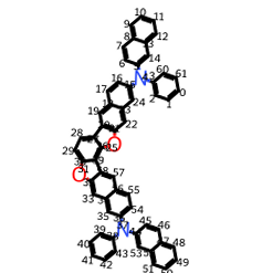 c1ccc(N(c2ccc3ccccc3c2)c2ccc3cc4c(cc3c2)oc2c4ccc3oc4cc5cc(N(c6ccccc6)c6ccc7ccccc7c6)ccc5cc4c32)cc1